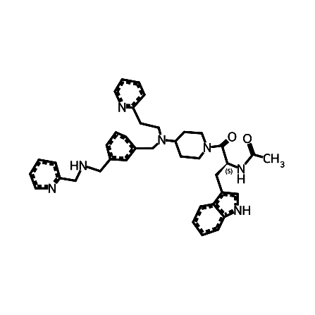 CC(=O)N[C@@H](Cc1c[nH]c2ccccc12)C(=O)N1CCC(N(CCc2ccccn2)Cc2cccc(CNCc3ccccn3)c2)CC1